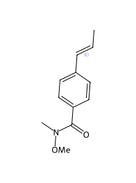 C/C=C/c1ccc(C(=O)N(C)OC)cc1